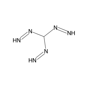 N=NC(N=N)N=N